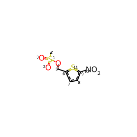 CS(=O)(=O)OCc1ccc([N+](=O)[O-])s1